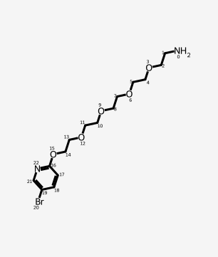 NCCOCCOCCOCCOCCOc1ccc(Br)cn1